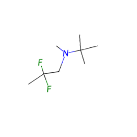 CN(CC(C)(F)F)C(C)(C)C